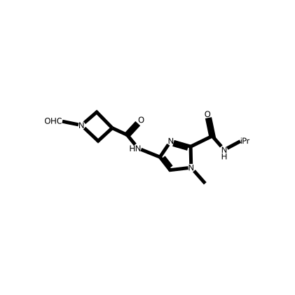 CC(C)NC(=O)c1nc(NC(=O)C2CN(C=O)C2)cn1C